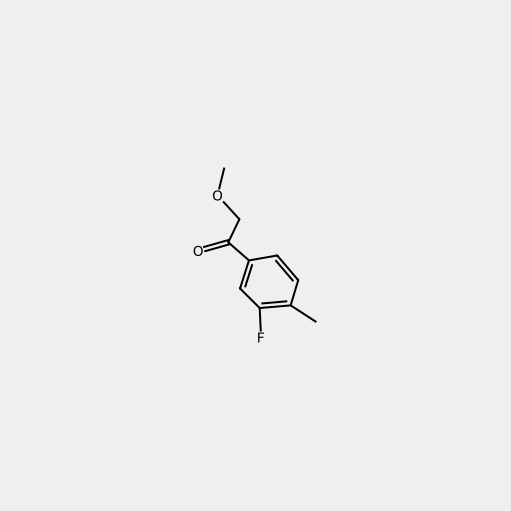 COCC(=O)c1ccc(C)c(F)c1